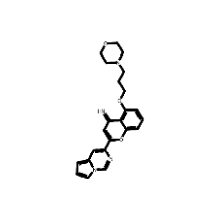 N=c1cc(-c2cc3cccn3cn2)oc2cccc(OCCCN3CCOCC3)c12